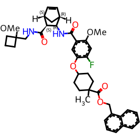 COc1cc(F)c(OC2CCC(C)(C(=O)OCc3cccc4ccccc34)CC2)cc1C(=O)N[C@H]1[C@@H](C(=O)NCC2(OC)CCC2)[C@@H]2C=C[C@H]1C2